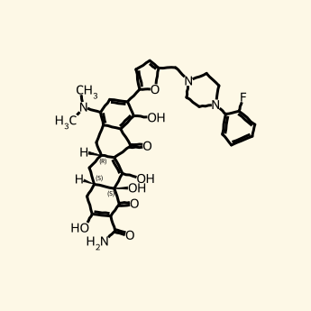 CN(C)c1cc(-c2ccc(CN3CCN(c4ccccc4F)CC3)o2)c(O)c2c1C[C@H]1C[C@H]3CC(O)=C(C(N)=O)C(=O)[C@@]3(O)C(O)=C1C2=O